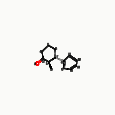 C[C@H]1C(=O)CCC[C@@H]1c1ccccc1